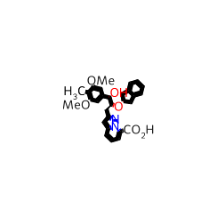 COc1cc([C@@H](O)[C@H](Cc2cc3cccc(C(=O)O)n3n2)OC2Cc3ccccc3C2)cc(OC)c1C